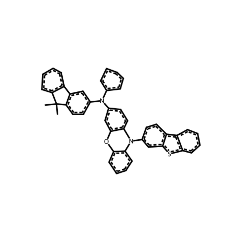 CC1(C)c2ccccc2-c2cc(N(c3ccccc3)c3ccc4c(c3)Oc3ccccc3N4c3ccc4c(c3)sc3ccccc34)ccc21